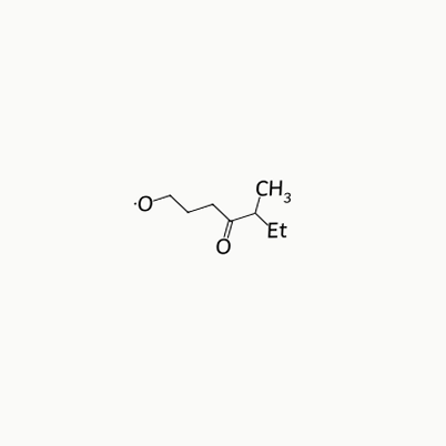 CCC(C)C(=O)CCC[O]